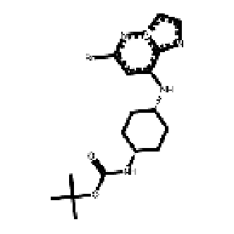 CC(C)(C)OC(=O)N[C@H]1CC[C@H](Nc2cc(Br)nn3ccnc23)CC1